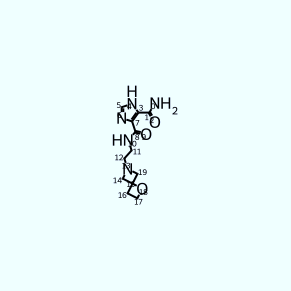 NC(=O)c1[nH]cnc1C(=O)NCCN1CC2(CCO2)C1